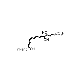 CCCCC[C@@H](O)/C=C/C=C\C=CC=CC(O)C(O)CCCC(=O)O